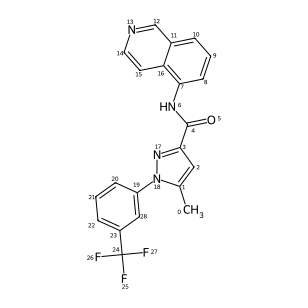 Cc1cc(C(=O)Nc2cccc3cnccc23)nn1-c1cccc(C(F)(F)F)c1